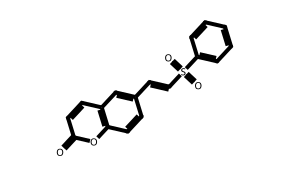 O=c1ccc2cc(C=CS(=O)(=O)c3ccccc3)ccc2o1